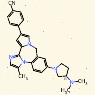 Cc1cnc2n1-c1ccc(N3CC[C@@H](N(C)C)C3)cc1Cn1cc(-c3ccc(C#N)cc3)cc1-2